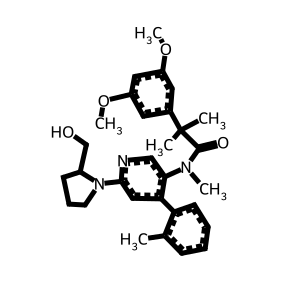 COc1cc(OC)cc(C(C)(C)C(=O)N(C)c2cnc(N3CCCC3CO)cc2-c2ccccc2C)c1